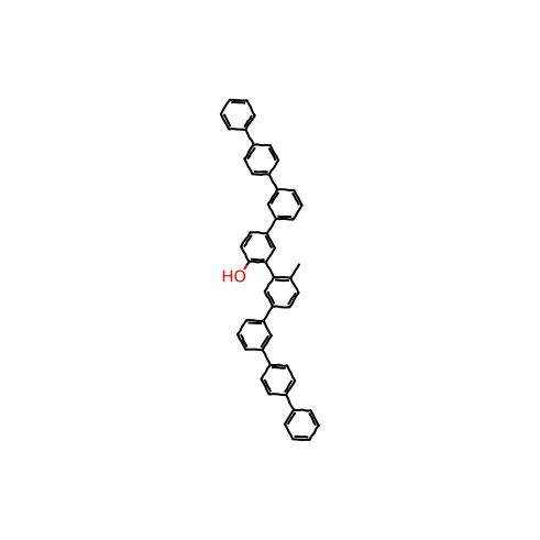 Cc1ccc(-c2cccc(-c3ccc(-c4ccccc4)cc3)c2)cc1-c1cc(-c2cccc(-c3ccc(-c4ccccc4)cc3)c2)ccc1O